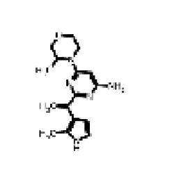 C=C(c1nc(N)cc(N2CCOCC2C)n1)c1cc[nH]c1C